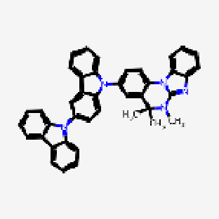 CN1c2nc3ccccc3n2-c2ccc(-n3c4ccccc4c4cc(-n5c6ccccc6c6ccccc65)ccc43)cc2C1(C)C